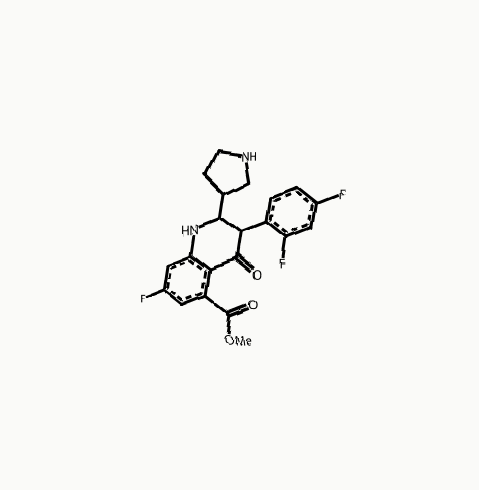 COC(=O)c1cc(F)cc2c1C(=O)C(c1ccc(F)cc1F)C(C1CCNC1)N2